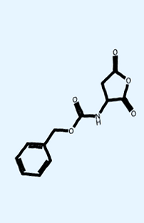 O=C1CC(NC(=O)OCc2ccccc2)C(=O)O1